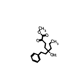 CCC[C@@](O)(CCC(=O)C(=O)OC)CCc1ccccc1